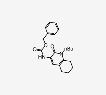 CCCCn1c2c(cc(NC(=O)OCc3ccccc3)c1=O)CCCC2